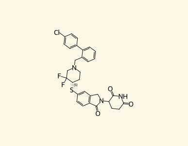 O=C1CCC(N2Cc3cc(S[C@H]4CCN(Cc5ccccc5-c5ccc(Cl)cc5)CC4(F)F)ccc3C2=O)C(=O)N1